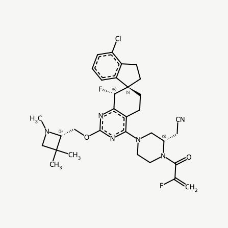 C=C(F)C(=O)N1CCN(c2nc(OC[C@H]3N(C)CC3(C)C)nc3c2CC[C@@]2(CCc4c(Cl)cccc42)[C@H]3F)C[C@@H]1CC#N